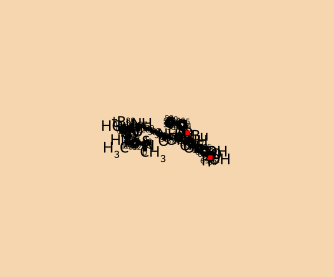 Cc1ncsc1-c1ccc([C@H](C)NC(=O)[C@@H]2C[C@@H](O)CN2C(=O)[C@@H](NC(=O)CCCCCCNC(=O)CO[C@H]2C[C@@H](C(=O)N3CCC[C@H](c4ccccc4)C3)N(C(=O)[C@@H](NC(=O)c3cc4cc(C(F)(F)P(=O)(O)O)ccc4s3)C(C)(C)C)C2)C(C)(C)C)cc1